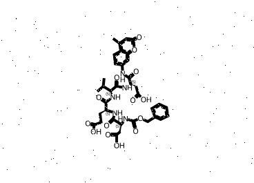 Cc1cc(=O)oc2cc(NC(=O)[C@H](CC(=O)O)NC(=O)[C@@H](NC(=O)[C@H](CCC(=O)O)NC(=O)[C@H](CC(=O)O)NC(=O)OCc3ccccc3)C(C)C)ccc12